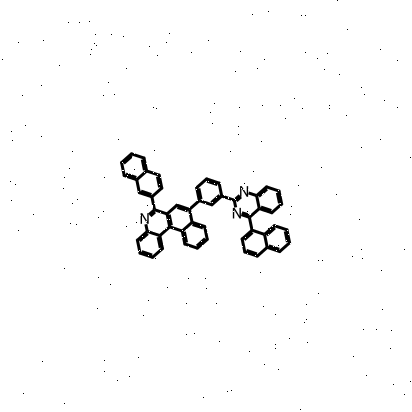 c1cc(-c2nc(-c3cccc4ccccc34)c3ccccc3n2)cc(-c2cc3c(-c4ccc5ccccc5c4)nc4ccccc4c3c3ccccc23)c1